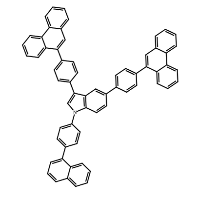 c1ccc2c(-c3ccc(-n4cc(-c5ccc(-c6cc7ccccc7c7ccccc67)cc5)c5cc(-c6ccc(-c7cc8ccccc8c8ccccc78)cc6)ccc54)cc3)cccc2c1